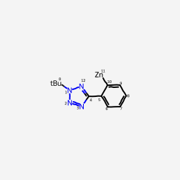 CC(C)(C)n1nnc(-c2cccc[c]2[Zn])n1